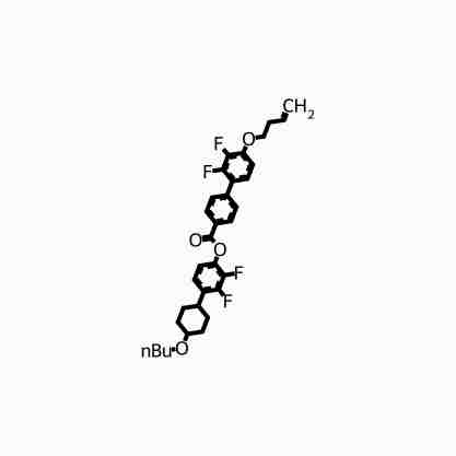 C=CCCOc1ccc(-c2ccc(C(=O)Oc3ccc(C4CCC(OCCCC)CC4)c(F)c3F)cc2)c(F)c1F